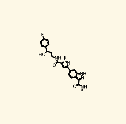 CNC(=O)c1n[nH]c2cc(-c3cc(C(=O)NCCC(O)c4ccc(F)cc4)n(C)n3)ccc12